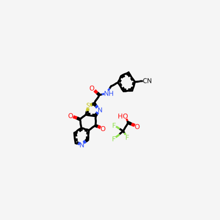 N#Cc1ccc(CNC(=O)c2nc3c(s2)C(=O)c2ccncc2C3=O)cc1.O=C(O)C(F)(F)F